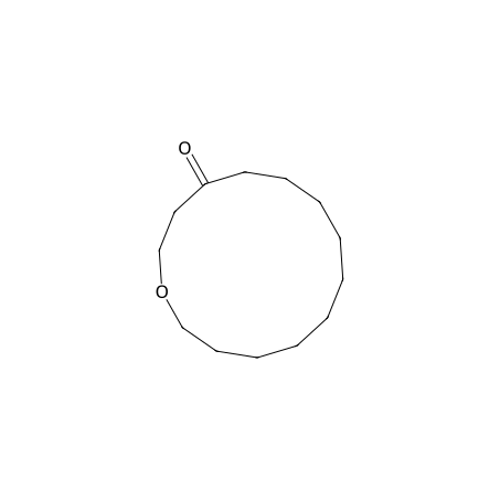 O=C1CCCCCCCCCCOCC1